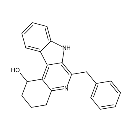 OC1CCCc2nc(Cc3ccccc3)c3[nH]c4ccccc4c3c21